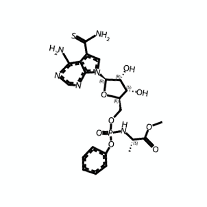 COC(=O)[C@H](C)NP(=O)(OC[C@H]1O[C@@H](n2cc(C(N)=S)c3c(N)ncnc32)[C@H](O)[C@@H]1O)Oc1ccccc1